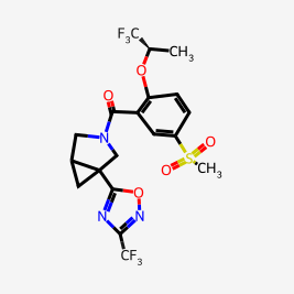 C[C@@H](Oc1ccc(S(C)(=O)=O)cc1C(=O)N1CC2CC2(c2nc(C(F)(F)F)no2)C1)C(F)(F)F